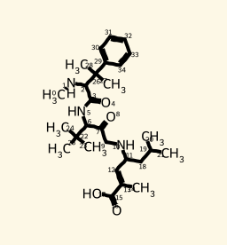 CNC(C(=O)NC(C(=O)CNC(/C=C(\C)C(=O)O)CC(C)C)C(C)(C)C)C(C)(C)c1ccccc1